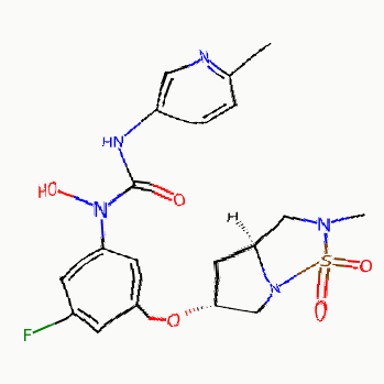 Cc1ccc(NC(=O)N(O)c2cc(F)cc(O[C@@H]3C[C@H]4CN(C)S(=O)(=O)N4C3)c2)cn1